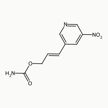 NC(=O)OCC=Cc1cncc([N+](=O)[O-])c1